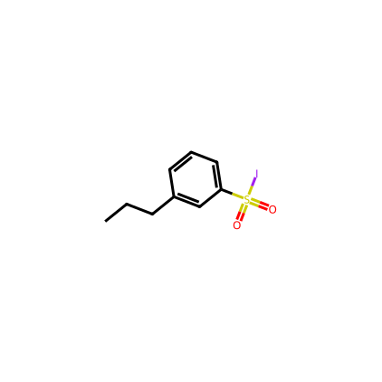 CCCc1cccc(S(=O)(=O)I)c1